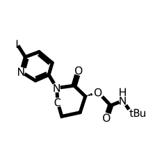 CC(C)(C)NC(=O)O[C@@H]1CCCN(c2ccc(I)nc2)C1=O